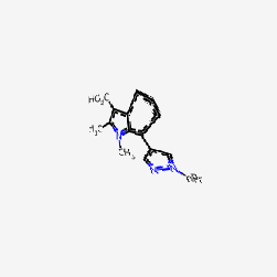 CCCn1cc(-c2cccc3c(C(=O)O)c(C)n(C)c23)cn1